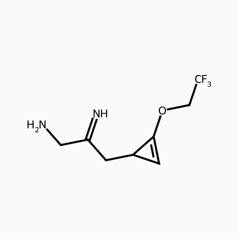 N=C(CN)CC1C=C1OCC(F)(F)F